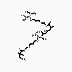 CC(CNCC(C)N(C(C)C)P(OCCCOCSC(=O)C(C)(C)CN)N(C(C)C)C(C)C)C(=O)SCOCCCOP(N(C(C)C)C(C)C)N(C(C)C)C(C)C